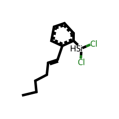 CCCCC=Cc1ccccc1[SiH](Cl)Cl